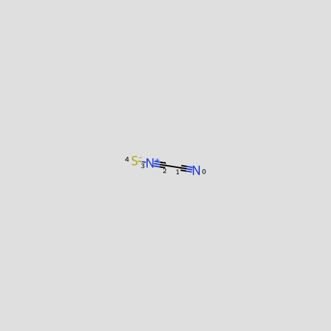 N#CC#[N+][S-]